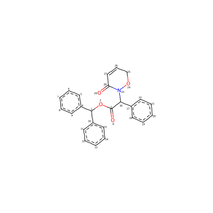 O=C(OC(c1ccccc1)c1ccccc1)C(c1ccccc1)N1OCC=CC1=O